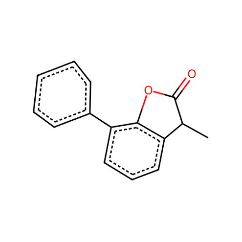 CC1C(=O)Oc2c(-c3ccccc3)cccc21